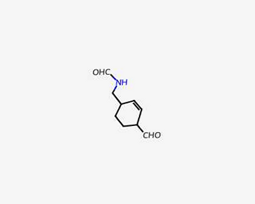 O=CNCC1C=CC(C=O)CC1